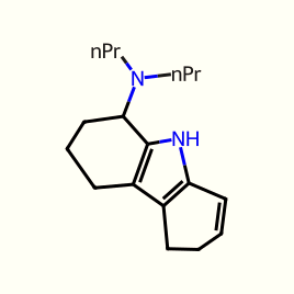 CCCN(CCC)C1CCCc2c1[nH]c1c2CCC=C1